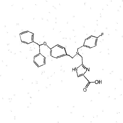 O=C(O)c1c[nH]c(CN(Cc2ccc(F)cc2)Cc2ccc(OC(c3ccccc3)c3ccccc3)cc2)n1